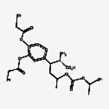 CC(C)CC(=O)Oc1ccc(C(CC(C)OC(=O)OC(C)C(C)C)[C@H](N)C(=O)O)cc1OC(=O)CC(C)C